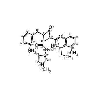 CC[C@@H](NC(=O)N1C(=O)[C@H](Cc2ccnc(N)c2)[C@H]1C(=O)N(C)c1ccn(C)n1)c1ccccc1C